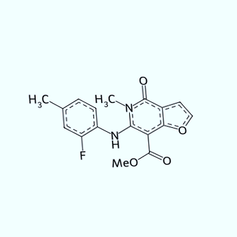 COC(=O)c1c(Nc2ccc(C)cc2F)n(C)c(=O)c2ccoc12